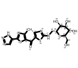 Cc1nc(-c2cnn[nH]2)sc1C(=O)c1cnc(NC[C@H]2O[C@H](CO)[C@@H](O)[C@H](O)[C@@H]2O)s1